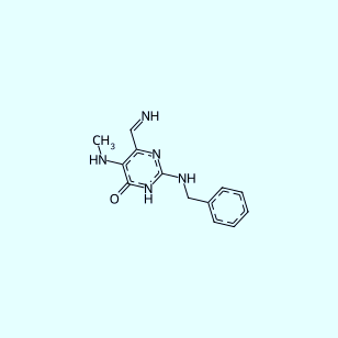 CNc1c(C=N)nc(NCc2ccccc2)[nH]c1=O